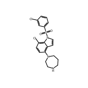 O=S(=O)(c1cccc(Cl)c1)n1ccc2c(N3CCCNCC3)ccc(Cl)c21